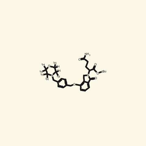 [2H]C1([2H])OC([2H])([2H])C([2H])([2H])N(Cc2ccc(COc3cccc4c3CN(C(CCC(N)=O)C(=O)OC(C)(C)C)C4=O)cc2)C1([2H])[2H]